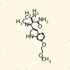 C/N=C(C1=Cc2ccc(OCCOC)cc2NC1)\C(C(N)=O)=C(/C)N